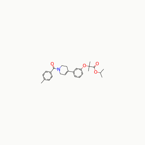 Cc1ccc(C(=O)N2CC=C(c3cccc(OC(C)(C)C(=O)OC(C)C)c3)CC2)cc1